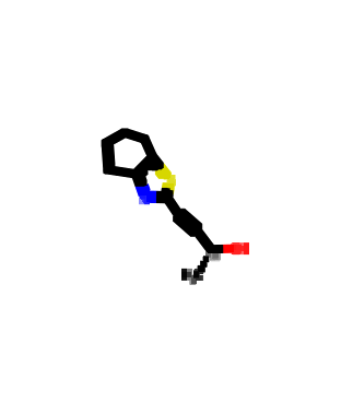 C[C@@H](O)C#Cc1nc2c(s1)CCC=C2